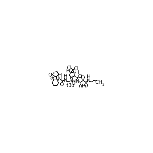 C=CCNC(=O)C(=O)[C@H](CCC)NC(=O)[C@@H]1[C@@H]2[C@H](CN1C(=O)[C@@H](NC(=O)NC1(C3CCCS3(=O)=O)CCCCC1)C(C)(C)C)C2(Cl)Cl